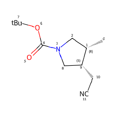 C[C@H]1CN(C(=O)OC(C)(C)C)C[C@H]1CC#N